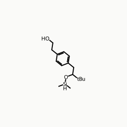 C[SiH](C)OC(Cc1ccc(CCO)cc1)C(C)(C)C